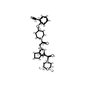 C[C@@H]1CN(C(=O)c2nn(CC(=O)N3CCC(Oc4ccccc4C#N)CC3)c3c2CCC3)C[C@H](C)O1